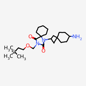 C[Si](C)(C)CCOCN1C(=O)N(C2CC3(CCC(N)CC3)C2)C2(CCCCC2)C1=O